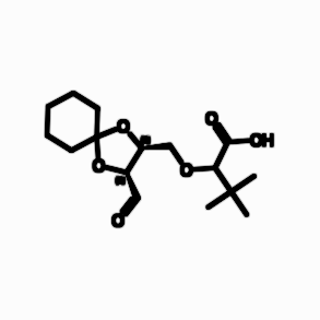 CC(C)(C)C(OC[C@@H]1OC2(CCCCC2)O[C@@H]1C=O)C(=O)O